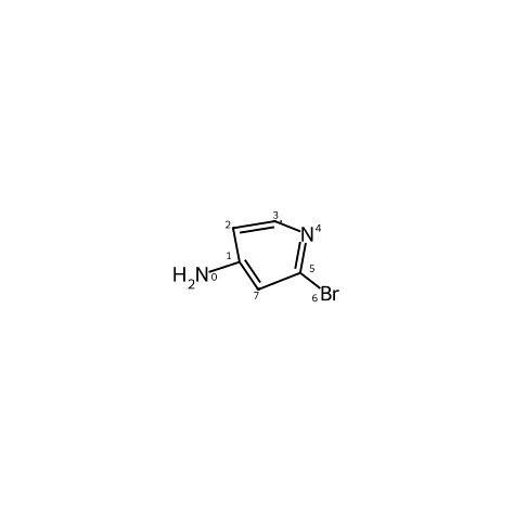 Nc1c[c]nc(Br)c1